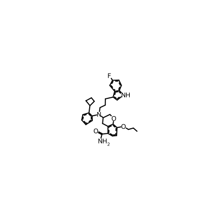 CCCOc1ccc(C(N)=O)c2c1OCC(N(CCCc1c[nH]c3ccc(F)cc13)c1ccccc1C1CCC1)C2